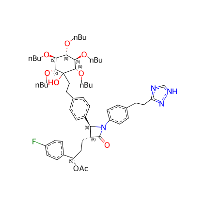 CCCCO[C@@H]1[C@@H](OCCCC)[C@H](OCCCC)C(O)(CCc2ccc([C@@H]3[C@@H](CC[C@H](OC(C)=O)c4ccc(F)cc4)C(=O)N3c3ccc(CCc4nc[nH]n4)cc3)cc2)[C@H](OCCCC)[C@H]1OCCCC